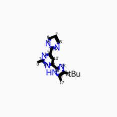 Cc1nc(-c2ncccn2)cc(-c2nc(C(C)(C)C)c(C)[nH]2)n1